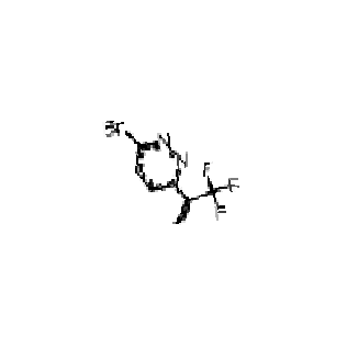 C=C(c1ccc(Br)nn1)C(F)(F)F